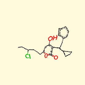 CCC(Cl)CCc1cc(O)c(C(c2ccccc2)C2CC2)c(=O)o1